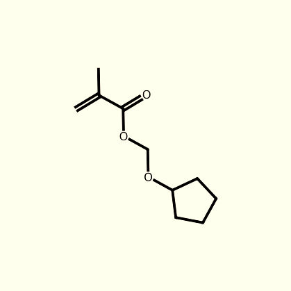 C=C(C)C(=O)OCOC1CCCC1